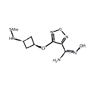 CSN[C@H]1C[C@@H](Oc2nonc2/C(N)=N\O)C1